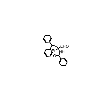 [CH2]CC(C=O)(NC(=O)c1ccccc1)OC(c1ccccc1)c1ccccc1